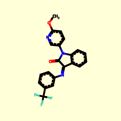 COc1ccc(N2C(=O)C(=Nc3cccc(C(F)(F)F)c3)c3ccccc32)cn1